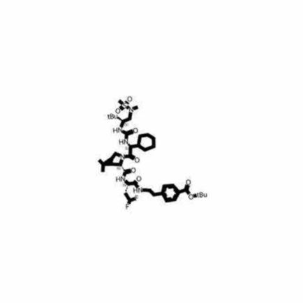 CN(C[C@@H](NC(=O)N[C@H](C(=O)N1CC2C([C@H]1C(=O)N[C@@H](CC(F)F)C(=O)NCCc1ccc(C(=O)OC(C)(C)C)cc1)C2(C)C)C1CCCCC1)C(C)(C)C)S(C)(=O)=O